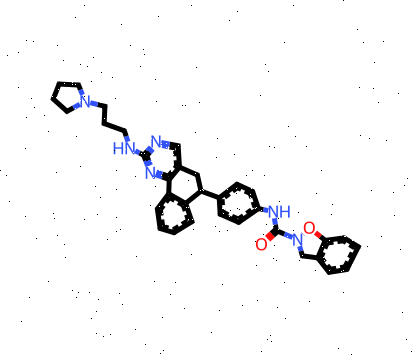 O=C(Nc1ccc(C2Cc3cnc(NCCCN4CCCC4)nc3-c3ccccc32)cc1)N1Cc2ccccc2O1